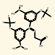 O=C(O)CN=S(c1cc(OC(F)(F)F)cc(B(O)O)c1)c1cc(OC(F)(F)F)cc(B(O)O)c1